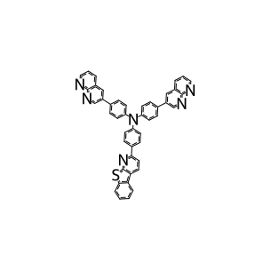 c1cnc2ncc(-c3ccc(N(c4ccc(-c5cnc6ncccc6c5)cc4)c4ccc(-c5ccc6c(n5)sc5ccccc56)cc4)cc3)cc2c1